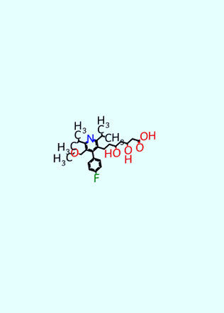 COCc1c(C(C)C)nc(C(C)C)c(CCC(O)CC(O)CC(=O)O)c1-c1ccc(F)cc1